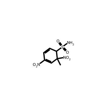 CC1([N+](=O)[O-])C=C([N+](=O)[O-])C=CC1S(N)(=O)=O